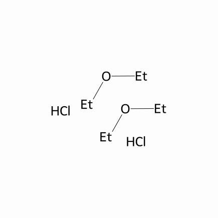 CCOCC.CCOCC.Cl.Cl